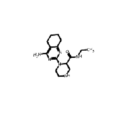 CCNC(=O)C1CNCCN1c1nc(N)c2c(n1)CCCC2